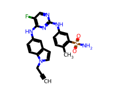 C#CCn1ccc2cc(Nc3nc(Nc4ccc(C)c(S(N)(=O)=O)c4)ncc3F)ccc21